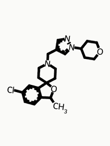 CC1OC2(CCN(Cc3cnn(C4CCOCC4)c3)CC2)c2cc(Cl)ccc21